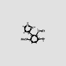 CCOc1c(Br)ccc(SC)c1-c1ccon1